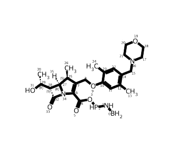 BNPOC(=O)C1=C(COc2cc(C)c(CN3CCOCC3)cc2C)[C@H](C)[C@@H]2[C@@H]([C@@H](C)O)C(=O)N12